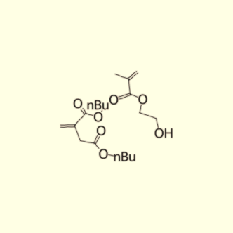 C=C(C)C(=O)OCCO.C=C(CC(=O)OCCCC)C(=O)OCCCC